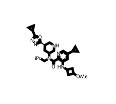 COC1CC(Nc2cc(C3CC3)cnc2C(=O)N(CC(C)C)C2CNC[C@H](c3nnc(C4CC4)o3)C2)C1